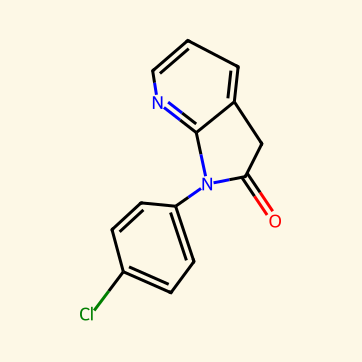 O=C1Cc2cccnc2N1c1ccc(Cl)cc1